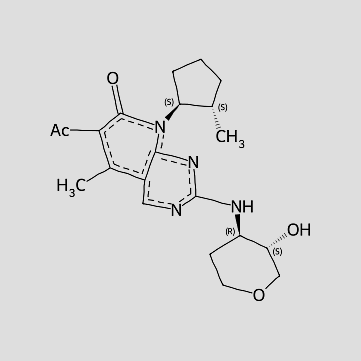 CC(=O)c1c(C)c2cnc(N[C@@H]3CCOC[C@H]3O)nc2n([C@H]2CCC[C@@H]2C)c1=O